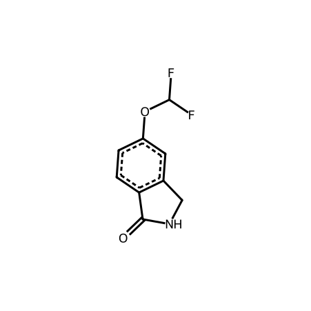 O=C1NCc2cc(OC(F)F)ccc21